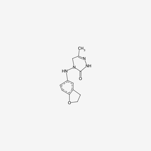 CC1=NNC(=O)N(Nc2ccc3c(c2)CCO3)C1